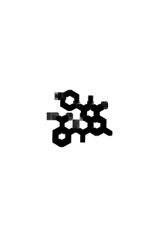 Cc1cc(C(C)Nc2ccccc2C(=O)O)c2nc(N3CCNCC3)n(C)c(=O)c2c1